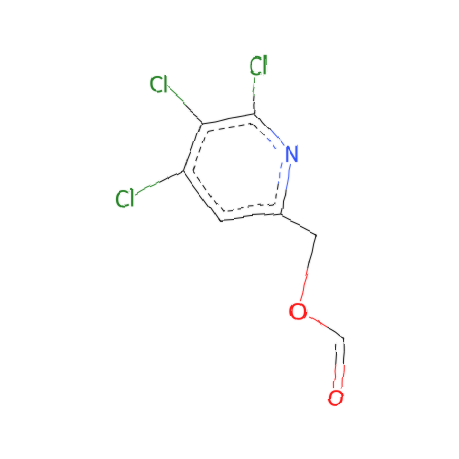 O=COCc1cc(Cl)c(Cl)c(Cl)n1